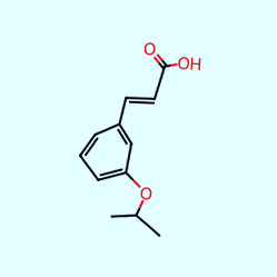 CC(C)Oc1cccc(C=CC(=O)O)c1